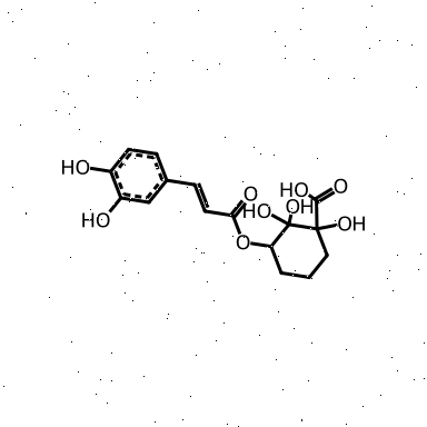 O=C(C=Cc1ccc(O)c(O)c1)OC1CCCC(O)(C(=O)O)C1(O)O